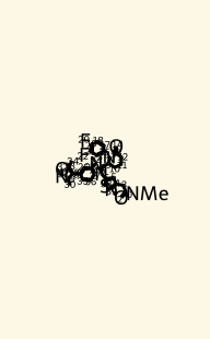 CNC(=O)Cc1cc(-n2c(C3CCCC(=O)N3c3ccc(F)c(F)c3)nc3cc(-c4c(C)noc4C)ccc32)sn1